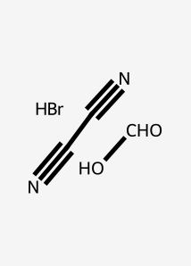 Br.N#CC#N.O=CO